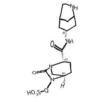 O=C(N[C@@H]1CC2CNC(C2)C1)[C@@H]1CC[C@@H]2CN1C(=O)N2OS(=O)(=O)O